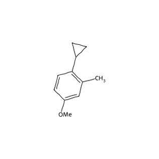 COc1ccc(C2CC2)c(C)c1